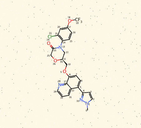 Cn1ccc(-c2ccc(OC[C@@H]3CN(c4ccc(OC(F)(F)F)cc4Cl)C(=O)CO3)c3ncccc23)n1